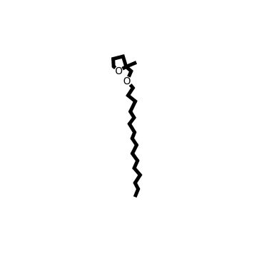 CCCCCCCCCCCCCCCCOCC1(C)CCCO1